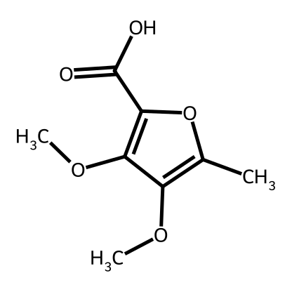 COc1c(C)oc(C(=O)O)c1OC